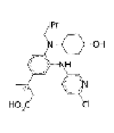 CC(C)CN(c1ccc([C@H](C)CC(=O)O)cc1Nc1ccc(Cl)nc1)[C@H]1CC[C@@H](O)CC1